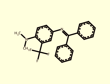 CN(C)c1ccc(N=C(c2ccccc2)c2ccccc2)cc1C(F)(F)F